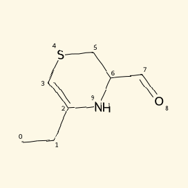 CCC1=CSCC(C=O)N1